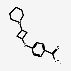 NC(=S)c1ccc(SC2CC(N3CCCCC3)C2)cc1